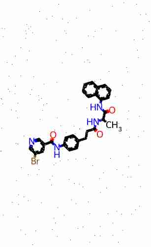 CC(NC(=O)CCc1ccc(NC(=O)c2cncc(Br)c2)cc1)C(=O)Nc1cccc2ccccc12